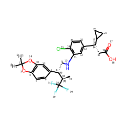 [2H]C1([2H])Oc2ccc([C@H](CNc3cc([C@@H](CC(=O)O)C4CC4)ccc3Cl)[C@@H](C)C(F)(F)F)cc2O1